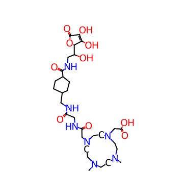 CN1CCN(C)CCN(CC(=O)NCC(=O)NCC2CCC(C(=O)NCC(O)C3OC(=O)C(O)=C3O)CC2)CCN(CC(=O)O)CC1